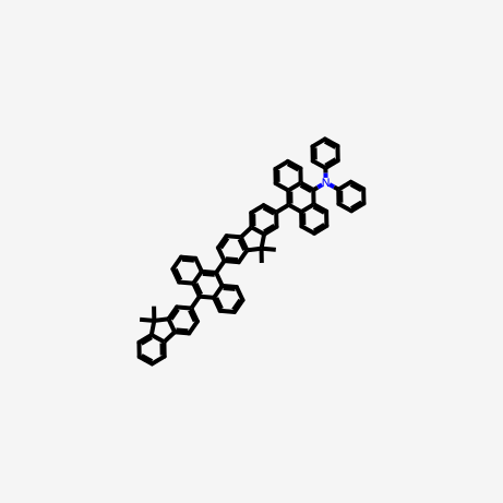 CC1(C)c2ccccc2-c2ccc(-c3c4ccccc4c(-c4ccc5c(c4)C(C)(C)c4cc(-c6c7ccccc7c(N(c7ccccc7)c7ccccc7)c7ccccc67)ccc4-5)c4ccccc34)cc21